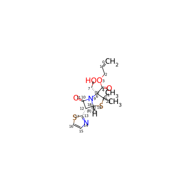 C=CCOC(=O)[C@]1(CO)N2C(=O)[C@@H](c3nccs3)[C@H]2SC1(C)C